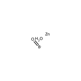 O.[B]=O.[Zn]